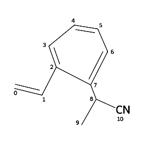 C=Cc1ccccc1C(C)C#N